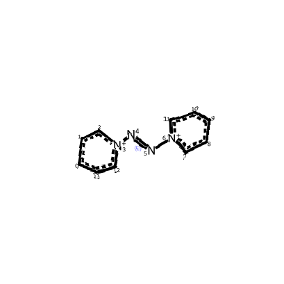 c1cc[n+](/N=N/[n+]2ccccc2)cc1